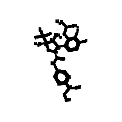 CC(C)Oc1c([C@H]2[C@H](C(=O)Nc3cnc([C@@H](O)CO)nc3)O[C@@](C)(C(F)(F)F)[C@H]2C)ccc(F)c1F